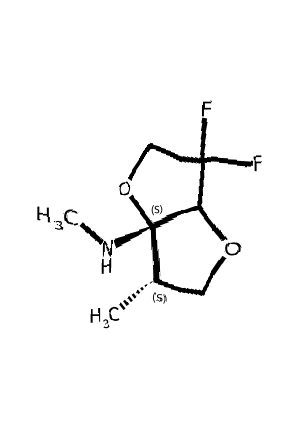 CN[C@@]12OCC(F)(F)C1OC[C@@H]2C